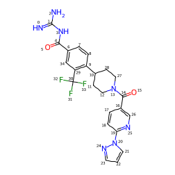 N=C(N)NC(=O)c1ccc(C2CCN(C(=O)c3ccc(-n4cccn4)nc3)CC2)c(C(F)(F)F)c1